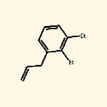 C=CCc1cccc(CC)c1CC